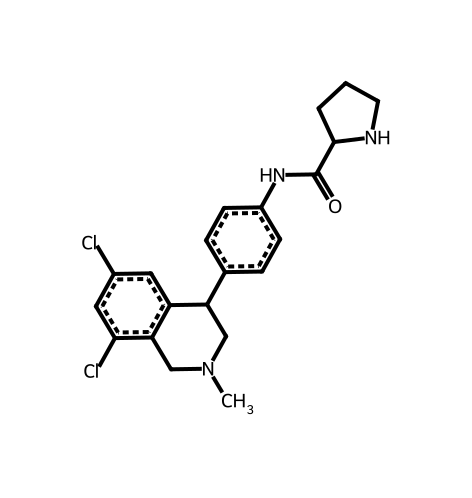 CN1Cc2c(Cl)cc(Cl)cc2C(c2ccc(NC(=O)C3CCCN3)cc2)C1